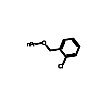 [CH2]CCOCc1ccccc1Cl